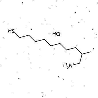 CC(CN)CCCCCCCCS.Cl